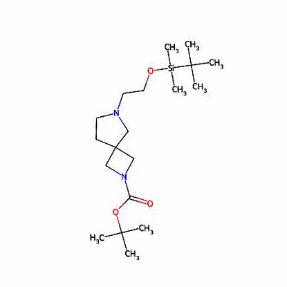 CC(C)(C)OC(=O)N1CC2(CCN(CCO[Si](C)(C)C(C)(C)C)C2)C1